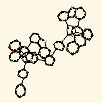 c1ccc(-c2ccc(-c3nc(-c4ccccc4)nc(-c4cccc5oc6cccc(-c7cc8ccccc8c8ccc(-c9cccc(-c%10ccc(C%11=NC(c%12ccccc%12)NC(c%12cccc%13oc%14cccc(-c%15ccc%16c(ccc%17ccccc%17%16)c%15)c%14c%12%13)=N%11)cc%10)c9)cc78)c6c45)n3)cc2)cc1